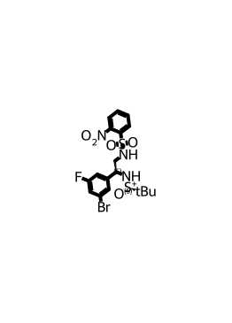 CC(C)(C)[S@@+]([O-])N[C@H](CNS(=O)(=O)c1ccccc1[N+](=O)[O-])c1cc(F)cc(Br)c1